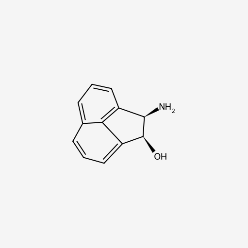 N[C@@H]1c2cccc3cccc(c23)[C@@H]1O